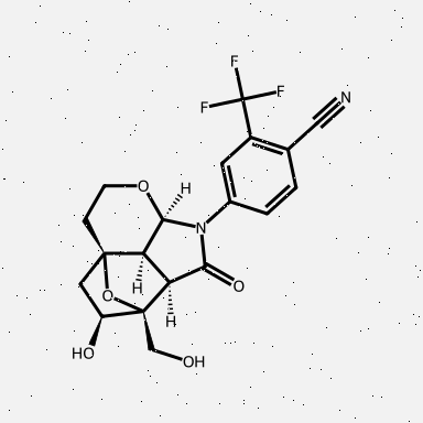 N#Cc1ccc(N2C(=O)[C@@H]3[C@@H]4[C@H]2OCC[C@@]42C[C@H](O)[C@]3(CO)O2)cc1C(F)(F)F